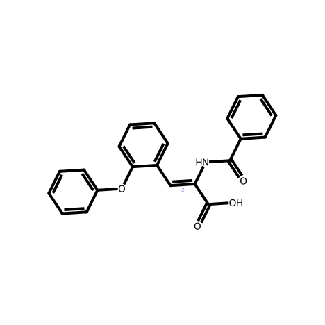 O=C(O)/C(=C/c1ccccc1Oc1ccccc1)NC(=O)c1ccccc1